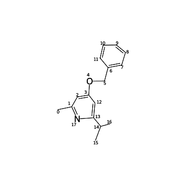 Cc1cc(OCc2ccccc2)cc(C(C)C)n1